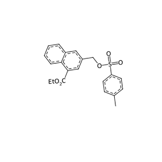 CCOC(=O)c1cc(COS(=O)(=O)c2ccc(C)cc2)cc2ccccc12